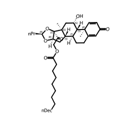 CCCCCCCCCCCCCCCCCC(=O)OCC(=O)[C@@]12O[C@H](CCC)O[C@@H]1C[C@H]1[C@@H]3CCC4=CC(=O)C=C[C@]4(C)[C@H]3[C@@H](O)C[C@@]12C